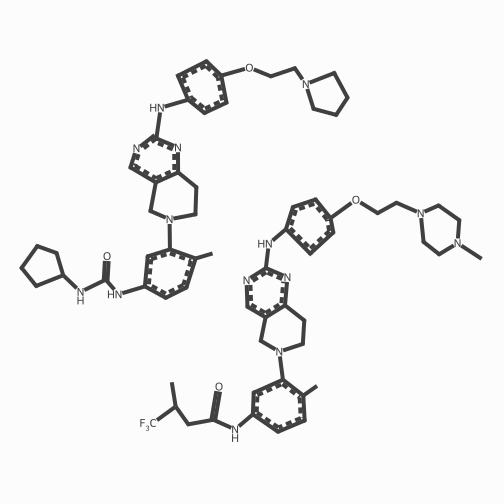 Cc1ccc(NC(=O)CC(C)C(F)(F)F)cc1N1CCc2nc(Nc3ccc(OCCN4CCN(C)CC4)cc3)ncc2C1.Cc1ccc(NC(=O)NC2CCCC2)cc1N1CCc2nc(Nc3ccc(OCCN4CCCC4)cc3)ncc2C1